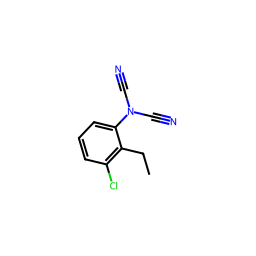 CCc1c(Cl)cccc1N(C#N)C#N